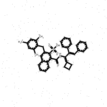 Cc1cc(C)c(Cc2cc3ccccc3c(C(=O)NC(=C3CCC3)/C(=C/c3ccccc3)c3ccccc3)c2S(=O)(=O)O)c(C)c1